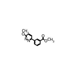 COC(=O)c1cccc(-c2ccc(OC)nn2)c1